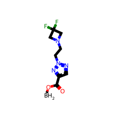 BOC(=O)c1cnn(CCN2CC(F)(F)C2)n1